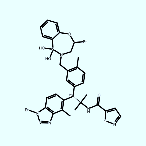 CCC1CN(Cc2cc([C@@H](c3ccc4c(nnn4CC)c3C)C(C)(C)NC(=O)c3ccns3)ccc2C)S(O)(O)c2ccccc2O1